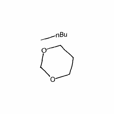 C1COCOC1.CCCCC